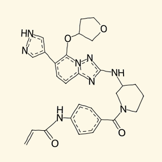 C=CC(=O)Nc1ccc(C(=O)N2CCCC(Nc3nc4ccc(-c5cn[nH]c5)c(OC5CCOC5)n4n3)C2)cc1